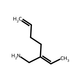 C=CCC/C(=C\C)CN